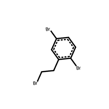 BrCCc1cc(Br)ccc1Br